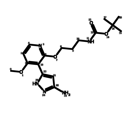 COc1ccnc(OCCCNC(=O)OC(C)(C)C)c1-c1cc(N)n[nH]1